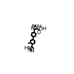 Cc1cc(-c2ccc(-c3nn[nH]c3C(=O)O)cc2)ccc1-c1cnn[nH]1